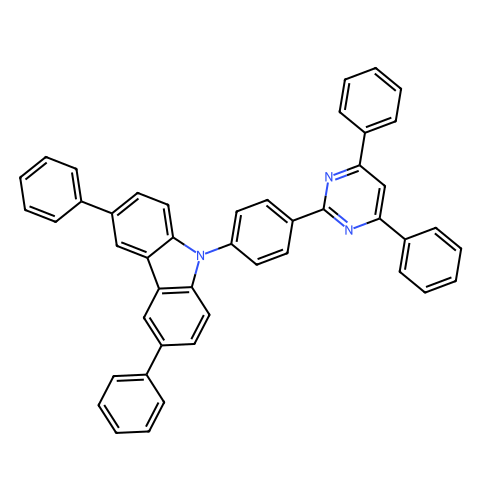 c1ccc(-c2ccc3c(c2)c2cc(-c4ccccc4)ccc2n3-c2ccc(-c3nc(-c4ccccc4)cc(-c4ccccc4)n3)cc2)cc1